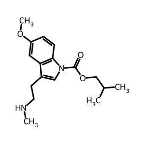 CNCCc1cn(C(=O)OCC(C)C)c2ccc(OC)cc12